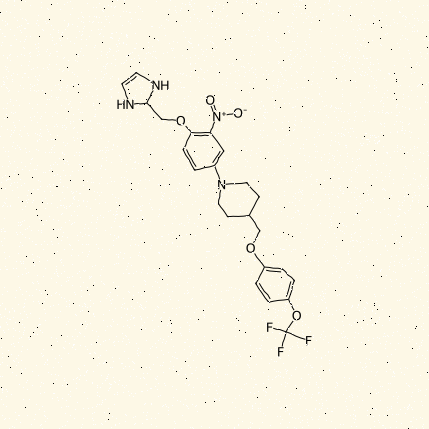 O=[N+]([O-])c1cc(N2CCC(COc3ccc(OC(F)(F)F)cc3)CC2)ccc1OCC1NC=CN1